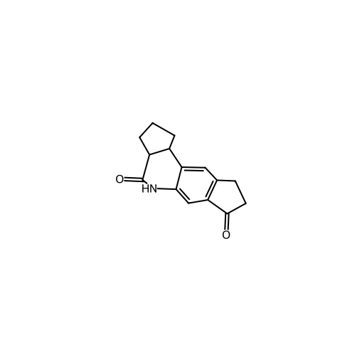 O=C1CCc2cc3c(cc21)NC(=O)C1CCCC31